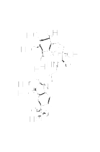 CC1=[N+](CCCNC(=O)C2(C)CCc3c(C)c(O)c(C)c(C)c3O2)c2ccc(S(=O)(=O)O)cc2C1(C)C